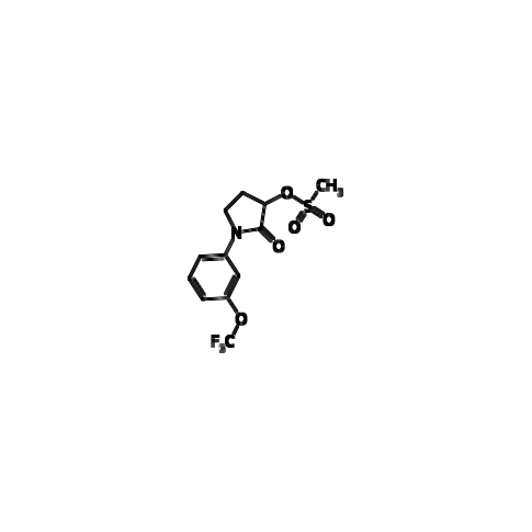 CS(=O)(=O)OC1CCN(c2cccc(OC(F)(F)F)c2)C1=O